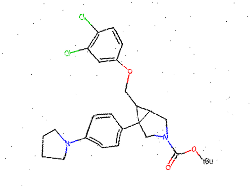 CC(C)(C)OC(=O)N1CC2C(COc3ccc(Cl)c(Cl)c3)C2(c2ccc(N3CCCC3)cc2)C1